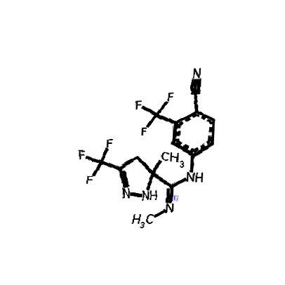 C/N=C(/Nc1ccc(C#N)c(C(F)(F)F)c1)C1(C)CC(C(F)(F)F)=NN1